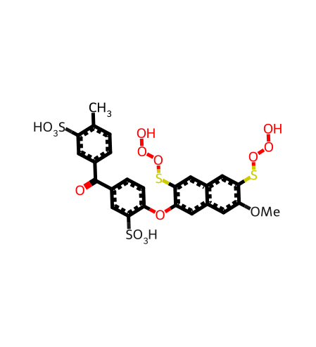 COc1cc2cc(Oc3ccc(C(=O)c4ccc(C)c(S(=O)(=O)O)c4)cc3S(=O)(=O)O)c(SOOO)cc2cc1SOOO